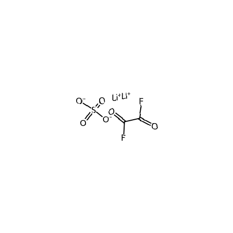 O=C(F)C(=O)F.O=S(=O)([O-])[O-].[Li+].[Li+]